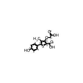 Cc1c(-c2ccc(O)cc2)sc(C(=O)O)c1OCC(=O)O